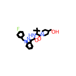 CC(C)(C)C(NC(=O)c1nn(Cc2ccc(F)cc2)c2ccccc12)C(=O)N1CCC(CO)CC1